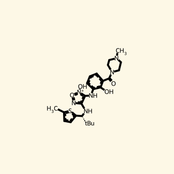 Cc1ccc([C@H](Nc2no[n+](O)c2Nc2cccc(C(=O)N3CCN(C)CC3)c2O)C(C)(C)C)s1